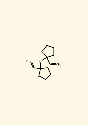 C=CC1(OC2(C=C)CCCO2)CCCO1